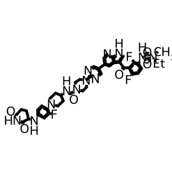 CCN(C)S(=O)(=O)Nc1ccc(F)c(C(=O)c2c[nH]c3ncc(-c4cnc(N5CCN(C(=O)NC6CCN(c7ccc(NC8CCC(=O)NC8=O)cc7F)CC6)CC5)nc4)cc23)c1F